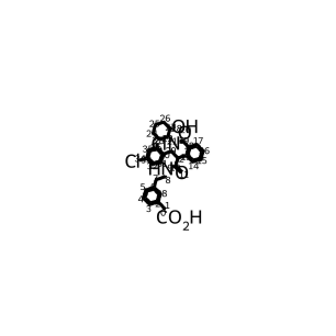 O=C(O)Cc1cccc(CCNC(=O)C2c3ccccc3C(=O)N(C3CCCCC3O)C2c2ccc(Cl)cc2Cl)c1